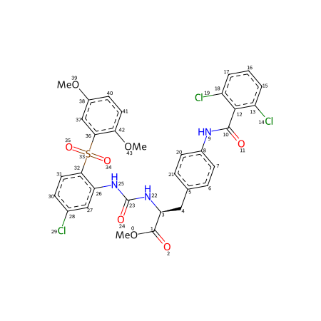 COC(=O)[C@H](Cc1ccc(NC(=O)c2c(Cl)cccc2Cl)cc1)NC(=O)Nc1cc(Cl)ccc1S(=O)(=O)c1cc(OC)ccc1OC